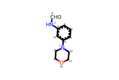 O=CNc1cccc(N2CCOCC2)c1